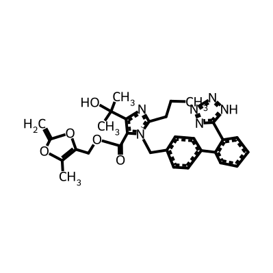 C=C1OC(C)=C(COC(=O)c2c(C(C)(C)O)nc(CCC)n2Cc2ccc(-c3ccccc3-c3nnn[nH]3)cc2)O1